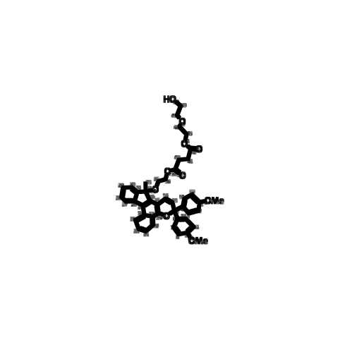 COc1ccc(C2(c3ccc(OC)cc3)C=Cc3c4c(c5ccccc5c3O2)-c2ccccc2C4(C)OCCOC(=O)CCC(=O)OCCOCCO)cc1